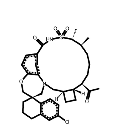 CC(=O)[C@@H]1CCC[C@H](C)[C@@H](C)S(=O)(=O)NC(=O)c2ccc3c(c2)N(C[C@@H]2CC[C@H]21)C[C@@]1(CCCc2cc(Cl)ccc21)CO3